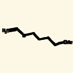 C=COCCCCOC(C)=O